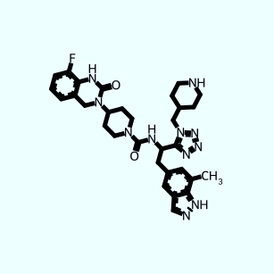 Cc1cc(CC(NC(=O)N2CCC(N3Cc4cccc(F)c4NC3=O)CC2)c2nnnn2CC2CCNCC2)cc2cn[nH]c12